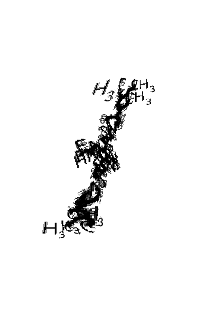 CCCCC(CC)CC(CC)C1CCN(c2cc3sc(-c4c5nsnc5c(-c5cc6sc(N7CCC(C(CC)CC(CC)CCCC)CC7)cc6s5)c5[nH]c(C(F)F)nc45)cc3s2)CC1